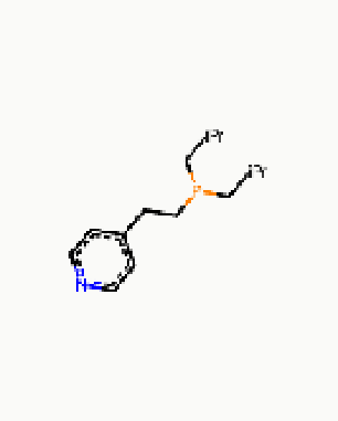 CC(C)CP(CCc1ccncc1)CC(C)C